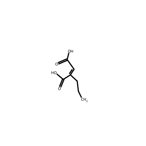 CCCC(=CC(=O)O)C(=O)O